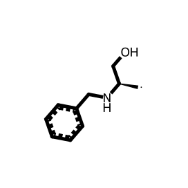 [CH2][C@H](CO)NCc1ccccc1